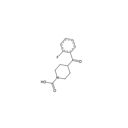 O=C(c1ccccc1F)C1CCN(C(=O)O)CC1